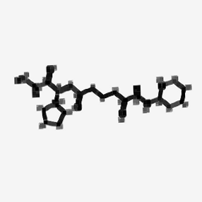 CCCNC(=O)C(=CC(=O)CCCC(=O)NOC1CCCCO1)N1CCCC1